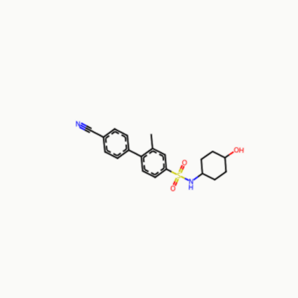 Cc1cc(S(=O)(=O)NC2CCC(O)CC2)ccc1-c1ccc(C#N)cc1